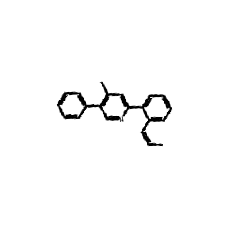 C/C=C\c1ccccc1-c1cc(C)c(-c2ccccc2)cn1